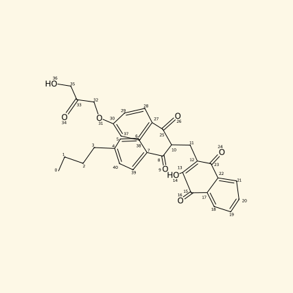 CCCCc1ccc(C(=O)C(CC2=C(O)C(=O)c3ccccc3C2=O)C(=O)c2ccc(OCC(=O)CO)cc2)cc1